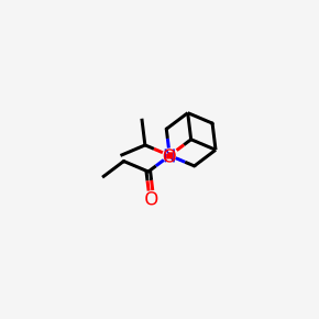 CCC(=O)N1CC2CC(C1)C2OC(C)C